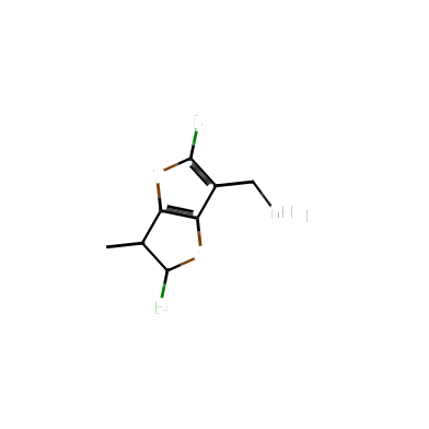 CCCCCCCCc1c(Br)sc2c1SC(Br)C2C